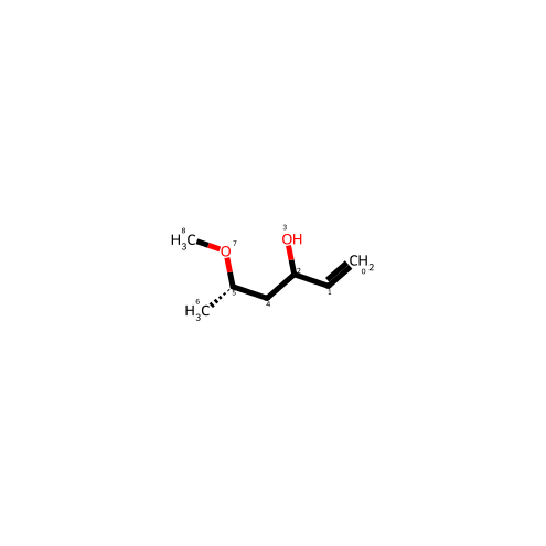 C=CC(O)C[C@H](C)OC